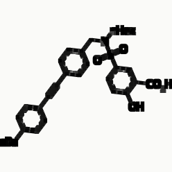 CCCCCCN(Cc1ccc(C#Cc2ccc(CCCC)cc2)cc1)S(=O)(=O)c1ccc(O)c(C(=O)O)c1